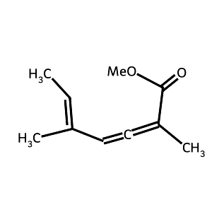 CC=C(C)C=C=C(C)C(=O)OC